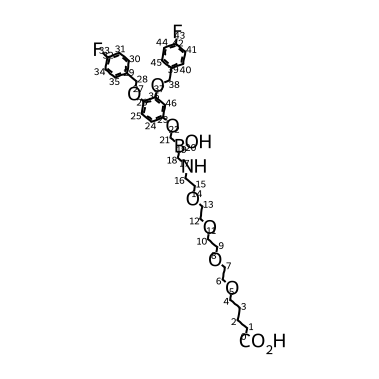 O=C(O)CCCCOCCOCCOCCOCCNCB(O)COc1ccc(OCc2ccc(F)cc2)c(OCc2ccc(F)cc2)c1